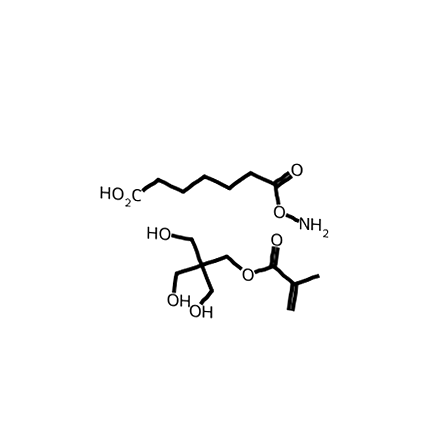 C=C(C)C(=O)OCC(CO)(CO)CO.NOC(=O)CCCCCC(=O)O